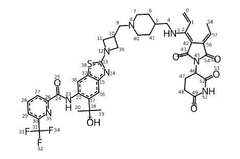 C=C/C(NCC1CCN(CC2CN(c3nc4cc(C(C)(C)O)c(NC(=O)c5cccc(C(F)(F)F)n5)cc4s3)C2)CC1)=C1/C(=O)N(C2CCC(=O)NC2=O)C(=O)/C1=C/C